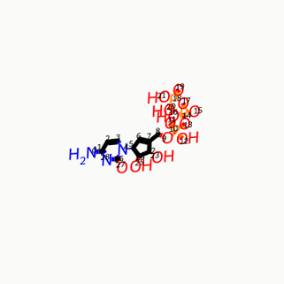 Nc1ccn([C@@H]2C=C(COP(=O)(O)OP(=O)(O)OP(=O)(O)O)[C@H](O)C2O)c(=O)n1